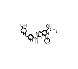 C[C@@H](O)c1cc2cnc(Nc3ccc(CN4CCC(O)CC4)cn3)nc2c(N2CCOCC2)n1